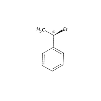 [CH2][C@@H](CC)c1ccccc1